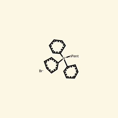 CCCCC[N+](c1ccccc1)(c1ccccc1)c1ccccc1.[Br-]